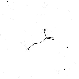 [C-]#[N+]CCC(=O)O